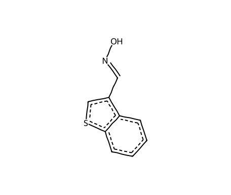 ON=Cc1csc2ccccc12